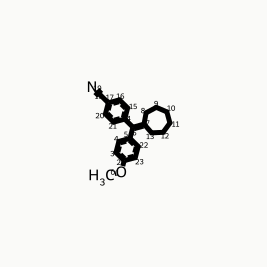 COc1ccc(C(=C2CCCCCC2)c2ccc(C#N)cc2)cc1